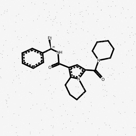 CC[C@@H](NC(=O)c1cc(C(=O)N2CCCCC2)n2c1CCCC2)c1ccccc1